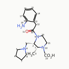 C[C@@H]1[C@H](CN2CCCC2)N(C(=O)Cc2ccccc2N)CCN1C(=O)O